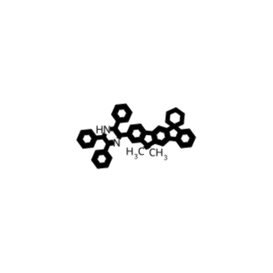 CC1(C)c2cc(C3=C(c4ccccc4)NC(c4ccccc4)C(c4ccccc4)=N3)ccc2-c2cc3c(cc21)-c1ccccc1C31CCCCC1